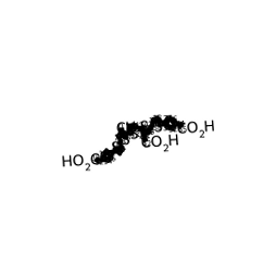 Cc1cc(-c2ccc(-c3ccc(CC(=O)O)cc3)s2)sc1-c1ccc(-c2sc(-c3ccc(-c4ccc(CC(=O)O)cc4)s3)cc2CC(=O)O)s1